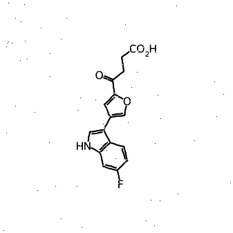 O=C(O)CCC(=O)c1cc(-c2c[nH]c3cc(F)ccc23)co1